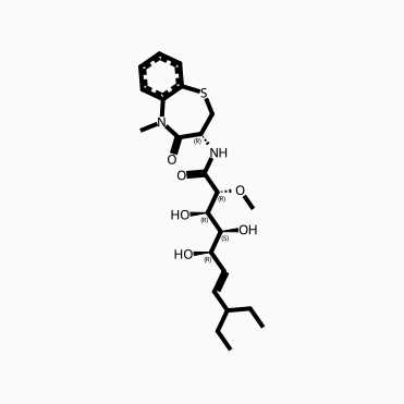 CCC(C=C[C@@H](O)[C@H](O)[C@@H](O)[C@@H](OC)C(=O)N[C@H]1CSc2ccccc2N(C)C1=O)CC